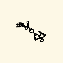 CC(C)(C)OC(=O)N1CCC(N2CCc3c(Cl)ncnc32)CC1